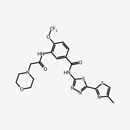 Cc1csc(-c2nnc(NC(=O)c3ccc(OC(F)(F)F)c(NC(=O)CN4CCOCC4)c3)s2)n1